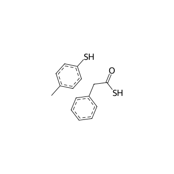 Cc1ccc(S)cc1.O=C(S)Cc1ccccc1